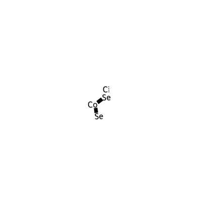 [C].[Se]=[Co]=[Se]